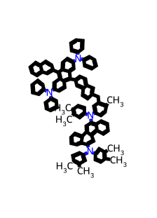 Cc1ccc(N(c2ccc(C)c(C)c2)c2cc3c4ccccc4c(N(c4ccc(C)c(C)c4)c4ccc(C)c(Cc5ccc6cc(-c7c8ccc(N(c9ccccc9)c9ccccc9)cc8c(-c8ccc9ccccc9c8)c8ccc(N(c9ccccc9)c9ccccc9)cc78)ccc6c5)c4)cc3c3ccccc23)cc1C